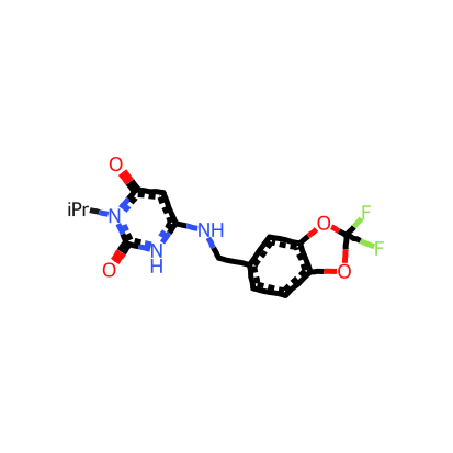 CC(C)n1c(=O)cc(NCc2ccc3c(c2)OC(F)(F)O3)[nH]c1=O